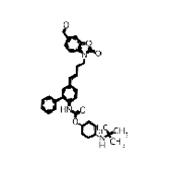 CC(C)(C)N[C@H]1CC[C@H](OC(=O)Nc2ccc(C=CCCn3c(=O)oc4cc(C=O)ccc43)cc2-c2ccccc2)CC1